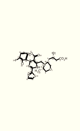 CC[C@H](CC(=O)O)C[C@@H]1COC[C@H](C)N1CC1=C(C(=O)OC)[C@H](c2cccc(F)c2Cl)N=C(c2nccs2)N1